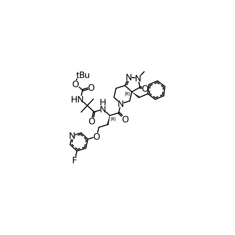 CN1N=C2CCN(C(=O)[C@@H](CCOc3cncc(F)c3)NC(=O)C(C)(C)NC(=O)OC(C)(C)C)C[C@@]2(Cc2ccccc2)C1=O